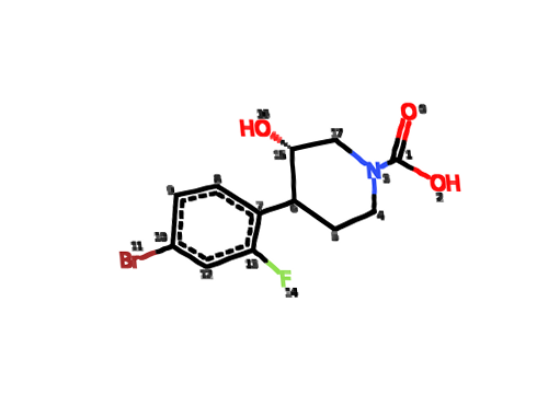 O=C(O)N1CCC(c2ccc(Br)cc2F)[C@H](O)C1